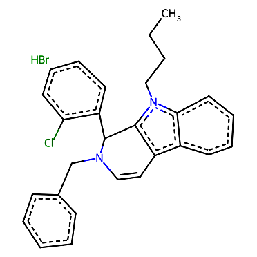 Br.CCCCn1c2c(c3ccccc31)C=CN(Cc1ccccc1)C2c1ccccc1Cl